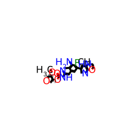 CO[C@@H]1COC[C@H]1OC(=O)Nc1cc2cc(-c3cnc4c(c3C)NCCO4)c(F)c(N)c2cn1